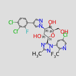 Cc1nc([C@@H]2O[C@H](CO)[C@H](O)[C@H](n3cc(-c4ccc(Cl)c(Cl)c4F)cn3)[C@H]2O)n(-c2cc(Cl)cnc2C(F)(F)F)n1